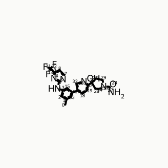 Cc1cc(Nc2nccc(C(F)(F)F)n2)cc(-c2ccc(C3(O)CCN(C(N)=O)CC3)nc2)c1